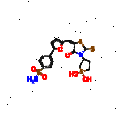 NS(=O)(=O)c1ccc(-c2ccc(C=C3SC(=S)N(C4CCS(O)(O)C4)C3=O)o2)cc1